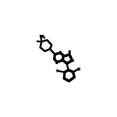 CC1(N)CCN(c2cnc3c(-c4c(F)cccc4Cl)n[nH]c3n2)CC1